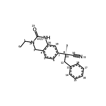 CCN1Cc2ccc([C@@](C)(C#N)Cc3ccccc3)cc2NC1=O